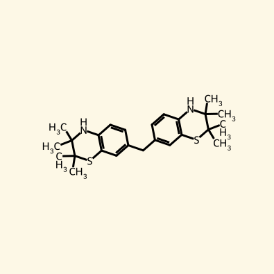 CC1(C)Nc2ccc(Cc3ccc4c(c3)SC(C)(C)C(C)(C)N4)cc2SC1(C)C